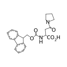 O=C(NC(CC(=O)N1CCCC1)C(=O)O)OCC1c2ccccc2-c2ccccc21